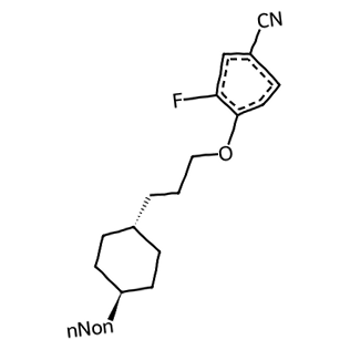 CCCCCCCCC[C@H]1CC[C@H](CCCOc2ccc(C#N)cc2F)CC1